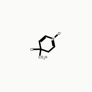 O=C(O)C1(Cl)C=C[N+]([O-])=CC1